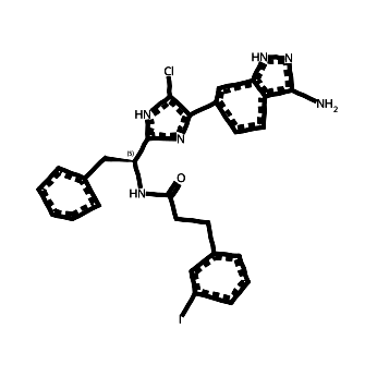 Nc1n[nH]c2cc(-c3nc([C@H](Cc4ccccc4)NC(=O)CCc4cccc(I)c4)[nH]c3Cl)ccc12